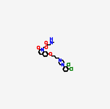 CNCC(=O)OCn1c(=O)ccc2ccc(OCCCCN3CCN(c4cccc(Cl)c4Cl)CC3)cc21